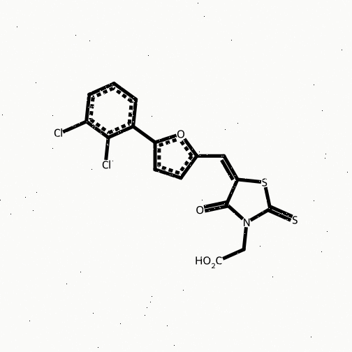 O=C(O)CN1C(=O)/C(=C\c2ccc(-c3cccc(Cl)c3Cl)o2)SC1=S